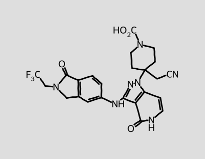 N#CCC1(n2nc(Nc3ccc4c(c3)CN(CC(F)(F)F)C4=O)c3c(=O)[nH]ccc32)CCN(C(=O)O)CC1